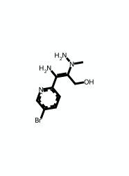 CN(N)/C(CO)=C(\N)c1ccc(Br)cn1